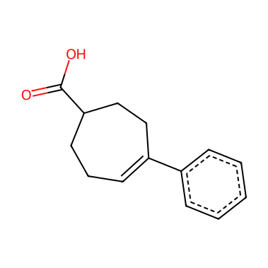 O=C(O)C1CCC=C(c2ccccc2)CC1